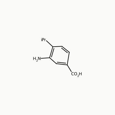 CC(C)c1ccc(C(=O)O)cc1N